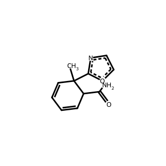 CC1(c2ncco2)C=CC=CC1C(N)=O